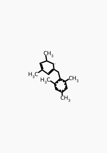 CC1=CC(C)[CH]C(Cc2c(C)cc(C)cc2C)=C1